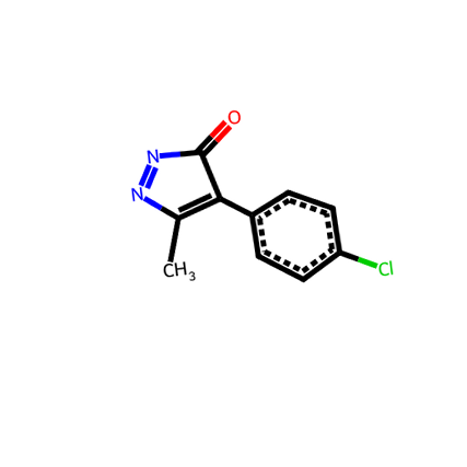 CC1=C(c2ccc(Cl)cc2)C(=O)N=N1